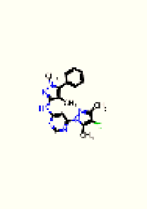 Cc1nn(-c2cc(Nc3nn(C)c(-c4ccccc4)c3C)ncn2)c(C)c1Cl